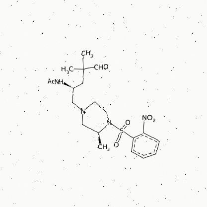 CC(=O)N[C@H](CN1CCN(S(=O)(=O)c2ccccc2[N+](=O)[O-])[C@@H](C)C1)CC(C)(C)C=O